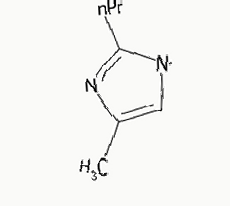 CCCC1=NC(C)=C[N]1